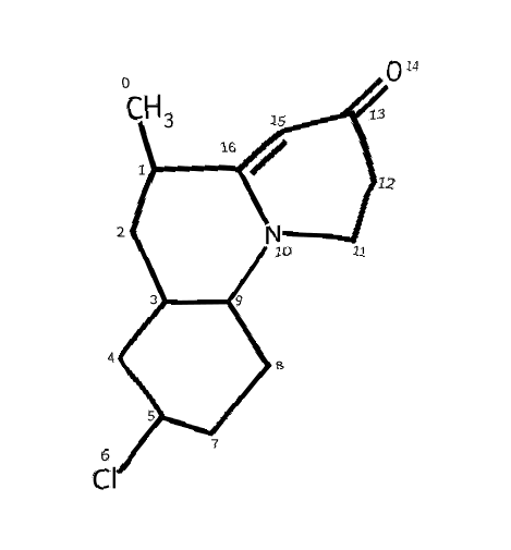 CC1CC2CC(Cl)CCC2N2CCC(=O)C=C12